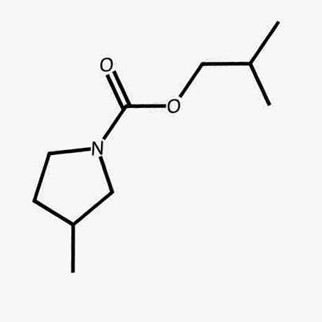 CC(C)COC(=O)N1CCC(C)C1